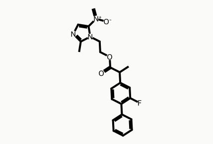 C=[N+]([O-])c1cnc(C)n1CCOC(=O)C(C)c1ccc(-c2ccccc2)c(F)c1